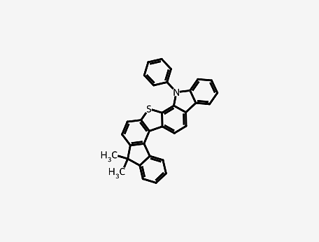 CC1(C)c2ccccc2-c2c1ccc1sc3c(ccc4c5ccccc5n(-c5ccccc5)c43)c21